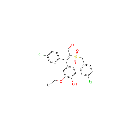 CCOc1cc(/C(=C(/C=O)S(=O)(=O)Cc2ccc(Cl)cc2)c2ccc(Cl)cc2)ccc1O